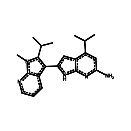 CC(C)c1cc(N)nc2[nH]c(-c3c(C(C)C)n(C)c4ncccc34)cc12